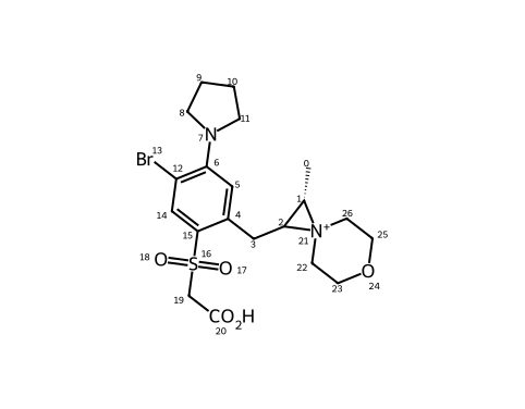 C[C@H]1C(Cc2cc(N3CCCC3)c(Br)cc2S(=O)(=O)CC(=O)O)[N+]12CCOCC2